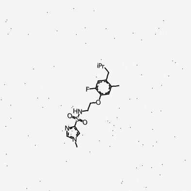 Cc1cc(OCCNS(=O)(=O)c2cn(C)cn2)c(F)cc1CC(C)C